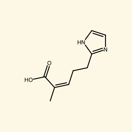 CC(=CCCc1ncc[nH]1)C(=O)O